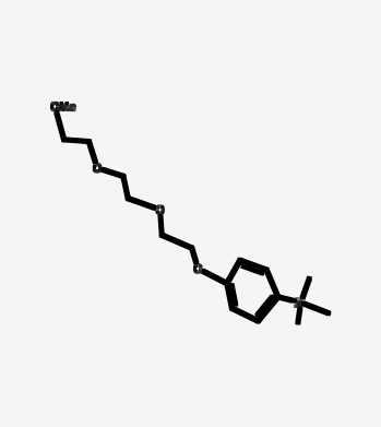 COCCOCCOCCOc1ccc([Si](C)(C)C)cc1